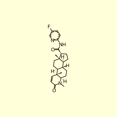 CN1C(=O)C=C[C@]2(C)[C@H]3CC[C@]4(C)[C@@H](C(=O)Nc5ccc(F)cn5)CC[C@H]4[C@@H]3CC[C@@H]12